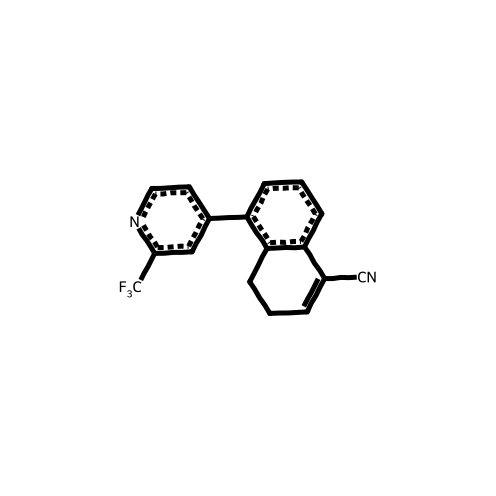 N#CC1=CCCc2c1cccc2-c1ccnc(C(F)(F)F)c1